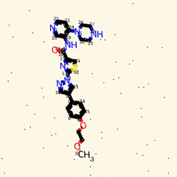 COCCOc1ccc(-c2cnn(-c3nc(C(=O)Nc4cnccc4N4CCNCC4)cs3)c2)cc1